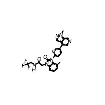 Cc1cccc2c1n(-c1ccc(-c3cncc4c3cnn4C)cn1)c(=O)n2CC(=O)NCC(F)(F)F